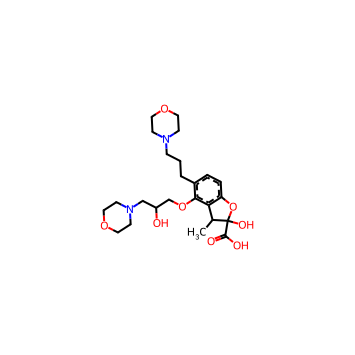 CC1c2c(ccc(CCCN3CCOCC3)c2OCC(O)CN2CCOCC2)OC1(O)C(=O)O